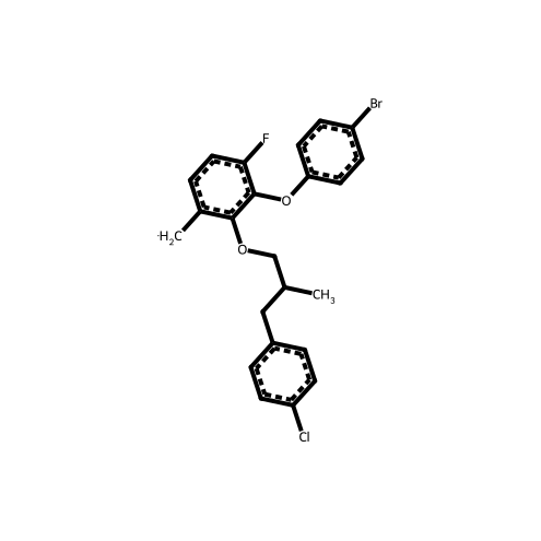 [CH2]c1ccc(F)c(Oc2ccc(Br)cc2)c1OCC(C)Cc1ccc(Cl)cc1